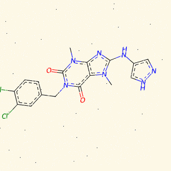 Cn1c(Nc2cn[nH]c2)nc2c1c(=O)n(Cc1ccc(Cl)c(Cl)c1)c(=O)n2C